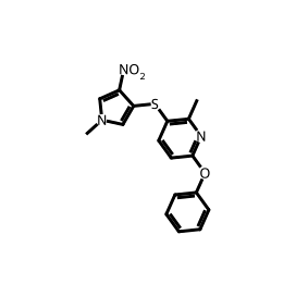 Cc1nc(Oc2ccccc2)ccc1Sc1cn(C)cc1[N+](=O)[O-]